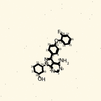 Nc1ncnc2c1c(-c1ccc(Oc3ccccc3F)cc1)nn2[C@@H]1CCC[C@@H](O)C1